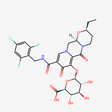 CC[C@H]1CCN2C(=O)c3c(O[C@@H]4O[C@H](C(=O)O)[C@@H](O)[C@H](O)[C@H]4O)c(=O)c(C(=O)NCc4c(F)cc(F)cc4F)cn3C[C@H]2O1